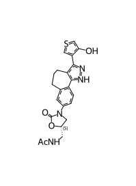 CC(=O)NC[C@H]1CN(c2ccc3c(c2)CCCc2c(-c4cscc4O)n[nH]c2-3)C(=O)O1